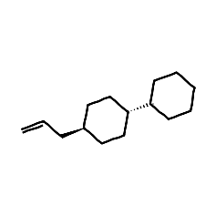 C=CC[C@H]1CC[C@H]([C]2CCCCC2)CC1